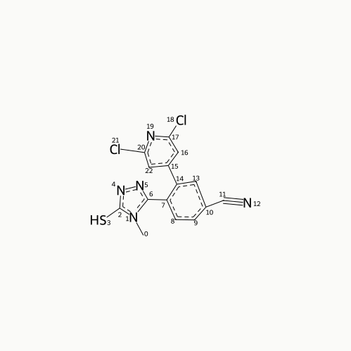 Cn1c(S)nnc1-c1ccc(C#N)cc1-c1cc(Cl)nc(Cl)c1